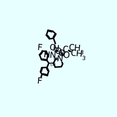 CC(C)(C)OC(=O)N1CCC[C@@H](C(c2ccc(F)cc2)c2ccc(F)cc2)[C@H]1NC(=O)OCc1ccccc1